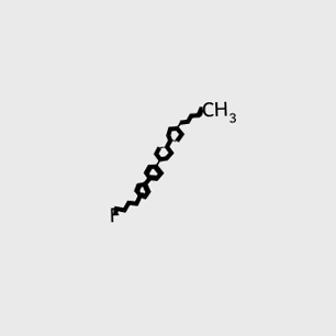 CC=CCCC[C@H]1CC[C@H]([C@H]2CC[C@H](c3ccc(-c4ccc(CCCCF)cc4)cc3)CC2)CC1